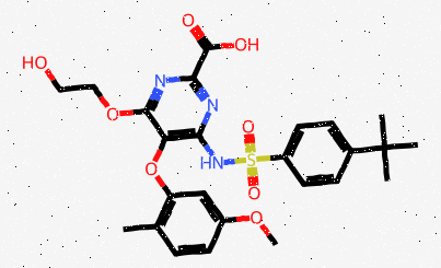 COc1ccc(C)c(Oc2c(NS(=O)(=O)c3ccc(C(C)(C)C)cc3)nc(C(=O)O)nc2OCCO)c1